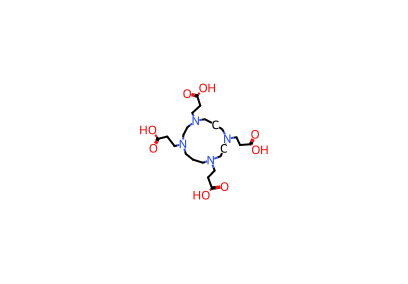 O=C(O)CCN1CCCN(CCC(=O)O)CCN(CCC(=O)O)CCCN(CCC(=O)O)CC1